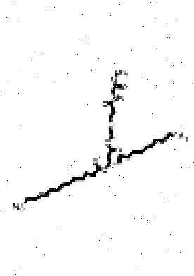 CCCCCCCCCCCCCC(=O)O[C@H](CCCCCCCCCCC)CC(=O)OCCSCCC(=O)NCC(=O)OC